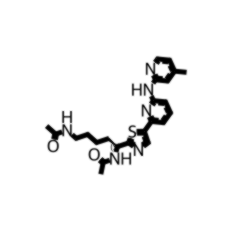 CC(=O)NCCCC[C@H](NC(C)=O)c1ncc(-c2cccc(Nc3cc(C)ccn3)n2)s1